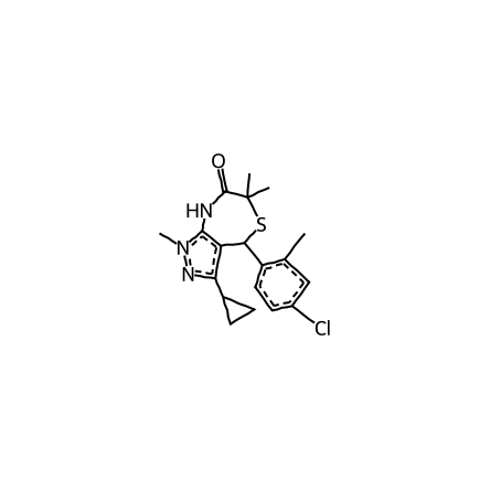 Cc1cc(Cl)ccc1C1SC(C)(C)C(=O)Nc2c1c(C1CC1)nn2C